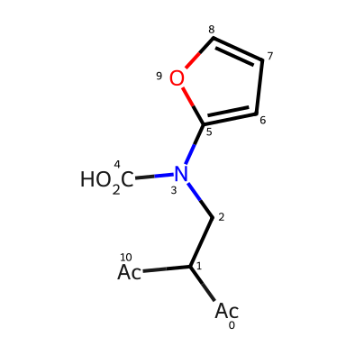 CC(=O)C(CN(C(=O)O)c1ccco1)C(C)=O